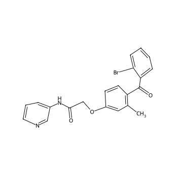 Cc1cc(OCC(=O)Nc2cccnc2)ccc1C(=O)c1ccccc1Br